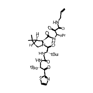 C=CCNC(=O)C(=O)C(CCC)NC(=O)[C@@H]1[C@@H]2[C@H](CN1C(=O)[C@@H](NC(=O)N[C@H](C(=O)c1nccs1)C(C)(C)C)C(C)(C)C)C2(C)C